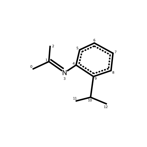 CC(C)=Nc1ccccc1C(C)C